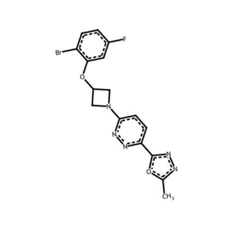 Cc1nnc(-c2ccc(N3CC(Oc4cc(F)ccc4Br)C3)nn2)o1